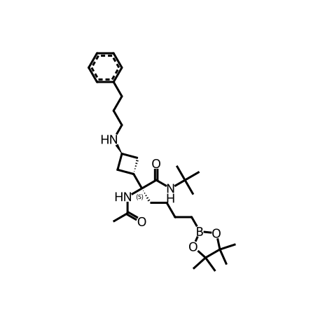 CC(=O)N[C@](CCCCB1OC(C)(C)C(C)(C)O1)(C(=O)NC(C)(C)C)[C@H]1C[C@H](NCCCc2ccccc2)C1